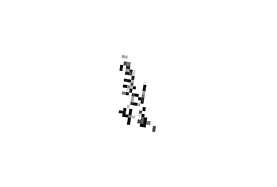 NC1CCN(c2ncc(C(=O)Nc3ccc(OC(F)(F)Cl)cc3)cc2-c2cncc(F)c2)C1